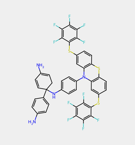 NC1=CCC(Nc2ccc(N3c4cc(Sc5c(F)c(F)c(F)c(F)c5F)ccc4Sc4ccc(Sc5c(F)c(F)c(F)c(F)c5F)cc43)cc2)(c2ccc(N)cc2)C=C1